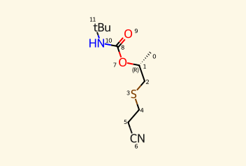 C[C@H](CSCCC#N)OC(=O)NC(C)(C)C